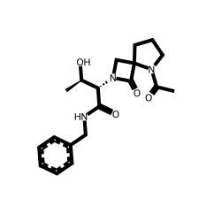 CC(=O)N1CCCC12CN([C@H](C(=O)NCc1ccccc1)[C@@H](C)O)C2=O